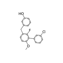 COc1ccc(Cc2cccc(O)c2)c(F)c1-c1cccc(Cl)c1